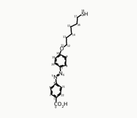 O=C(O)c1ccc(/N=N/c2ccc(OCCCCCCS)cc2)cc1